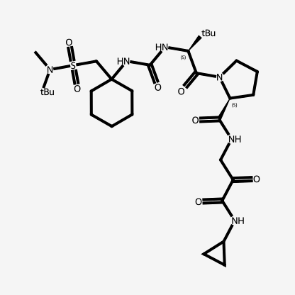 CN(C(C)(C)C)S(=O)(=O)CC1(NC(=O)N[C@H](C(=O)N2CCC[C@H]2C(=O)NCC(=O)C(=O)NC2CC2)C(C)(C)C)CCCCC1